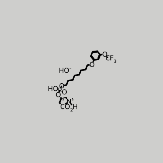 C[N+](C)(C)C[C@@H](CC(=O)O)OP(=O)(O)OCCCCCCCCOc1cccc(OC(F)(F)F)c1.[OH-]